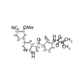 COc1cc(-c2cnc3[nH]cc(C(=O)c4cccc(NS(=O)(=O)N(C)C)c4F)c3c2)ccc1C#N